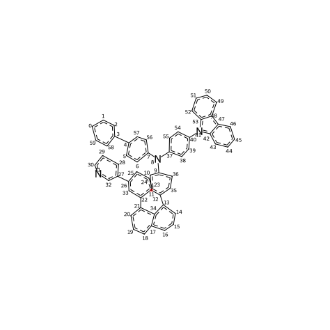 c1ccc(-c2ccc(N(c3ccc(-c4cccc5cccc(-c6cccc(-c7cccnc7)c6)c45)cc3)c3ccc(-n4c5ccccc5c5ccccc54)cc3)cc2)cc1